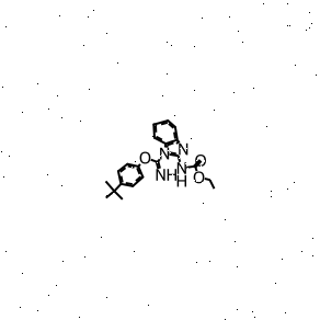 CCOC(=O)Nc1nc2ccccc2n1C(=N)Oc1ccc(C(C)(C)C)cc1